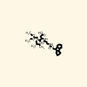 CCOC(CN(CC(C)CC)C(=O)C(CC(=O)O)NC(=O)CCNC(=O)OCC1c2ccccc2-c2ccccc21)OCC